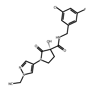 N#CCn1cc(N2CC[C@](O)(C(=O)NCc3cc(F)cc(Cl)c3)C2=O)cn1